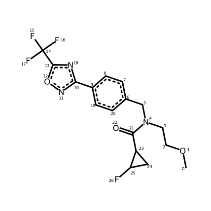 COCCN(Cc1ccc(-c2noc(C(F)(F)F)n2)cc1)C(=O)C1CC1F